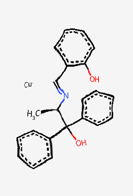 C[C@@H](N=Cc1ccccc1O)C(O)(c1ccccc1)c1ccccc1.[Cu]